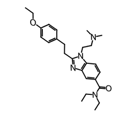 CCOc1ccc(CCc2nc3cc(C(=O)N(CC)CC)ccc3n2CCN(C)C)cc1